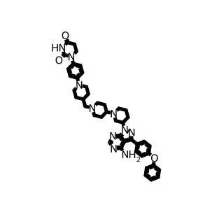 Nc1ncnc2c1c(-c1ccc(Oc3ccccc3)cc1)nn2C1CCCN(C2CCN(CC3CCN(c4ccc(N5CCC(=O)NC5=O)cc4)CC3)CC2)C1